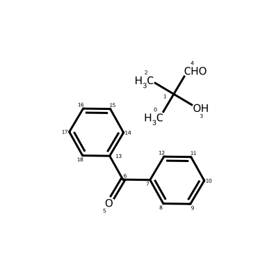 CC(C)(O)C=O.O=C(c1ccccc1)c1ccccc1